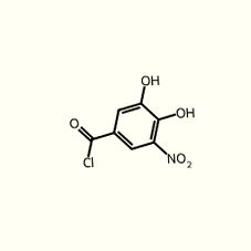 O=C(Cl)c1cc(O)c(O)c([N+](=O)[O-])c1